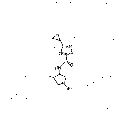 CC1CN(C(C)C)CC1NC(=O)c1nc(C2CC2)ns1